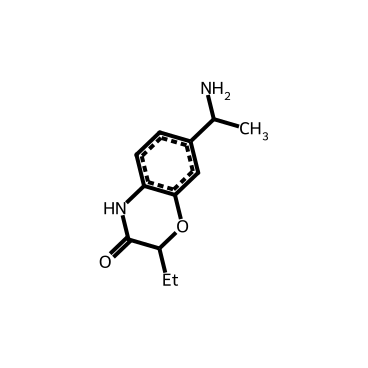 CCC1Oc2cc(C(C)N)ccc2NC1=O